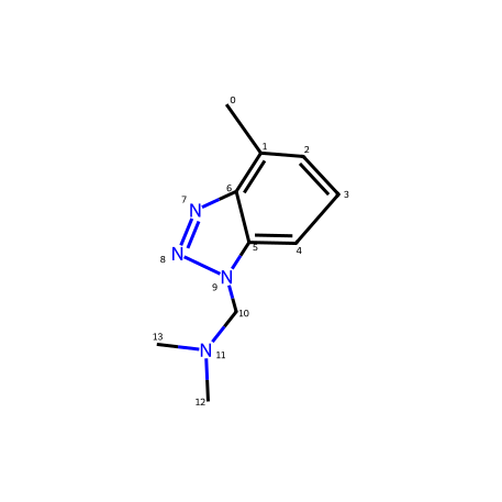 Cc1cccc2c1nnn2CN(C)C